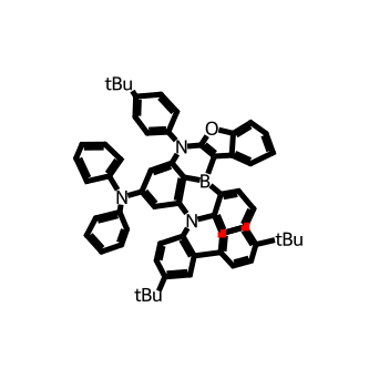 CC(C)(C)c1ccc(-c2cc(C(C)(C)C)ccc2N2c3ccccc3B3c4c2cc(N(c2ccccc2)c2ccccc2)cc4N(c2ccc(C(C)(C)C)cc2)c2oc4ccccc4c23)cc1